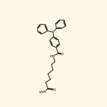 CNC(=O)CCCCCCNC(=O)c1ccc(N(c2ccccc2)c2ccccc2)cc1